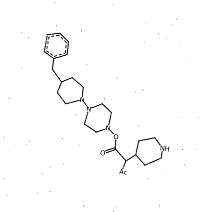 CC(=O)C(C(=O)ON1CCN(N2CCC(Cc3ccccc3)CC2)CC1)C1CCNCC1